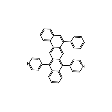 c1ccc(-c2cc3ccccc3c3cc4c(-c5ccncc5)c5ccccc5c(-c5ccncc5)c4cc23)cc1